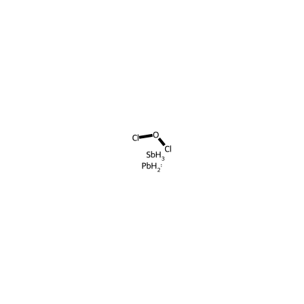 ClOCl.[PbH2].[SbH3]